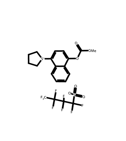 COC(=O)Oc1ccc([S+]2CCCC2)c2ccccc12.O=S(=O)([O-])C(F)(F)C(F)(F)C(F)(F)C(F)(F)F